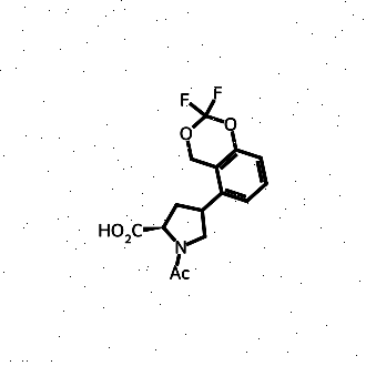 CC(=O)N1CC(c2cccc3c2COC(F)(F)O3)C[C@@H]1C(=O)O